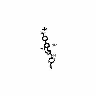 COc1cc(C2=CCN(C(=O)OC(C)(C)C)CC2)ccc1-c1cc(Nc2cnc(C#N)cn2)no1.[H-].[Na+]